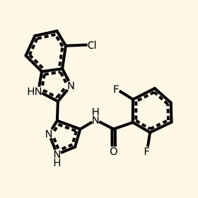 O=C(Nc1c[nH]nc1-c1nc2c(Cl)cccc2[nH]1)c1c(F)cccc1F